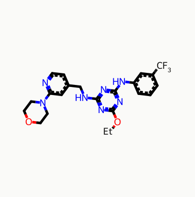 CCOc1nc(NCc2ccnc(N3CCOCC3)c2)nc(Nc2cccc(C(F)(F)F)c2)n1